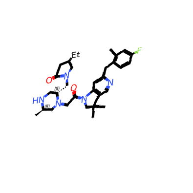 CCC1CC(=O)N(C[C@H]2CN[C@H](C)CN2CC(=O)N2CC(C)(C)c3cnc(Cc4ccc(F)cc4C)cc32)C1